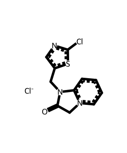 O=C1C[n+]2ccccc2N1Cc1cnc(Cl)s1.[Cl-]